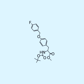 COC(=O)C(Cc1ccc(OCc2ccc(F)cc2)cc1)NC(=O)OC(C)(C)C